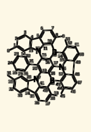 Cc1ccc2c3ccc(C)c4c3n(c2c1)-c1c2c3c5c(c1-c1ccccc1)-n1c6cc(C)ccc6c6ccc(C)c(c61)B5c1c(C)ccc5c6ccc(C)c(c6n-3c15)B24